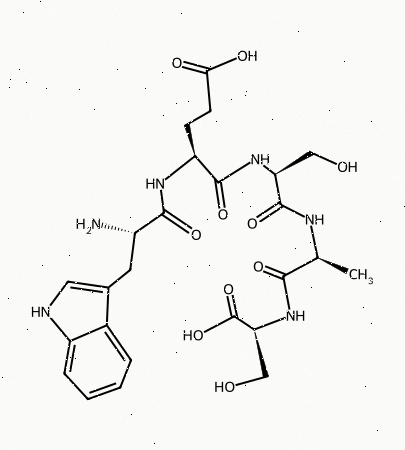 C[C@H](NC(=O)[C@H](CO)NC(=O)[C@H](CCC(=O)O)NC(=O)[C@@H](N)Cc1c[nH]c2ccccc12)C(=O)N[C@@H](CO)C(=O)O